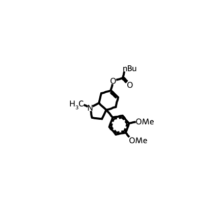 CCCCC(=O)OC1=CCC2(c3ccc(OC)c(OC)c3)CCN(C)C2C1